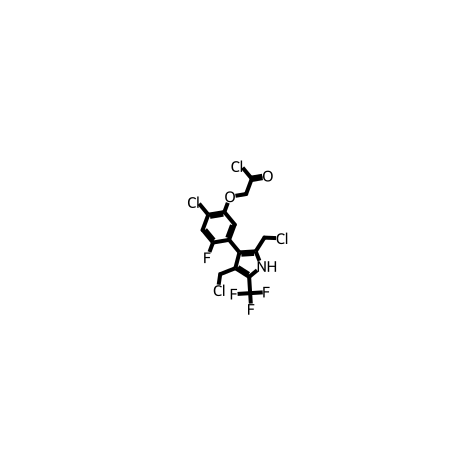 O=C(Cl)COc1cc(-c2c(CCl)[nH]c(C(F)(F)F)c2CCl)c(F)cc1Cl